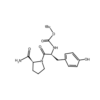 CC(C)(C)OC(=O)N[C@@H](Cc1ccc(O)cc1)C(=O)N1CCC[C@H]1C(N)=O